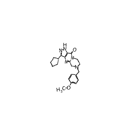 COc1ccc(CN2CCn3c(nc4c(C5CCCC5)n[nH]c4c3=O)C2)cc1